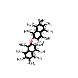 Cc1[c]([RaH])[c]([RaH])c2[c]([RaH])c(Oc3[c]([RaH])[c]([RaH])c4[c]([RaH])c(C)[c]([RaH])[c]([RaH])c4[c]3[RaH])[c]([RaH])[c]([RaH])c2[c]1[RaH]